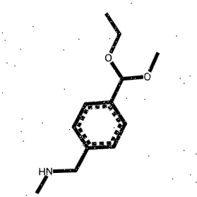 CCOC(OC)c1ccc(CNC)cc1